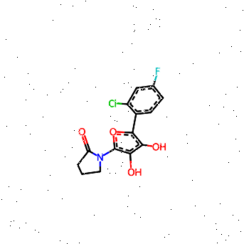 O=C1CCCN1c1oc(-c2ccc(F)cc2Cl)c(O)c1O